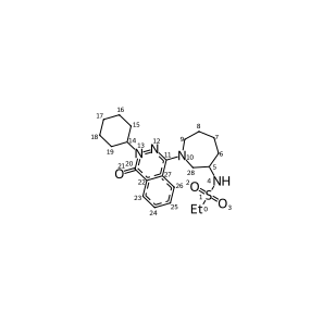 CCS(=O)(=O)NC1CCCCN(c2nn(C3CCCCC3)c(=O)c3ccccc23)C1